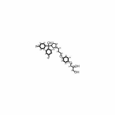 N#CC(c1ccc(F)cc1)(c1ccc(F)cc1)C1CCN(CCCOc2ccc(OCC(O)CO)cc2)C1